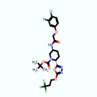 CC(C)(C)OC(=O)N1C[C@@H](NC(=O)COc2ccc(Cl)c(F)c2)CC[C@@H]1c1nnc(OCCC(F)(F)F)o1